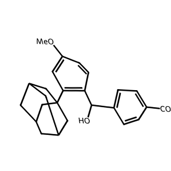 COc1ccc(C(O)c2ccc(C(=O)O)cc2)c(C23CC4CC(CC(C4)C2)C3)c1